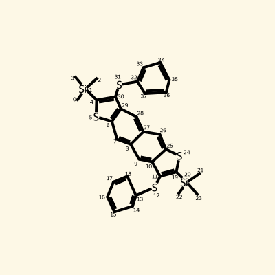 C[Si](C)(C)c1sc2cc3cc4c(Sc5ccccc5)c([Si](C)(C)C)sc4cc3cc2c1Sc1ccccc1